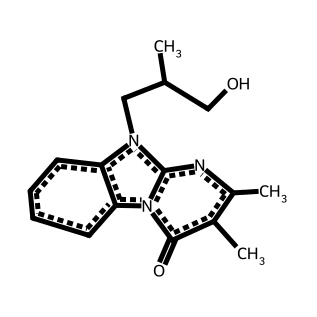 Cc1nc2n(CC(C)CO)c3ccccc3n2c(=O)c1C